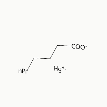 CCCCCCC(=O)[O-].[Hg+]